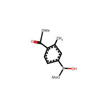 COB(O)c1ccc(C(=O)OC)c(C)c1